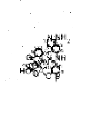 COc1cc([C@@H](Nc2ccc3c(N)nccc3c2)C(=O)N2CC[C@@H](OC(=O)O)[C@@H]2c2ccccc2S(=O)(=O)C2CC2)ccc1F